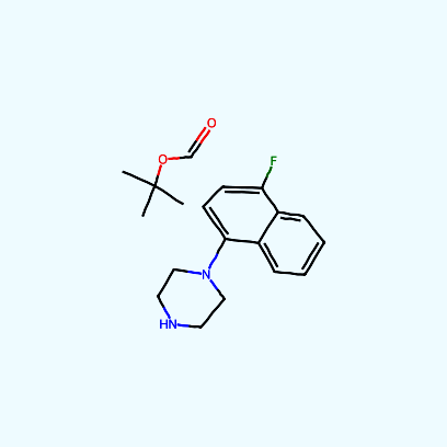 CC(C)(C)OC=O.Fc1ccc(N2CCNCC2)c2ccccc12